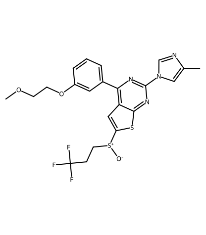 COCCOc1cccc(-c2nc(-n3cnc(C)c3)nc3sc([S+]([O-])CCC(F)(F)F)cc23)c1